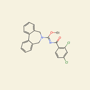 CCOC(=NC(=O)c1ccc(Cl)cc1Cl)N1Cc2ccccc2-c2ccccc2C1